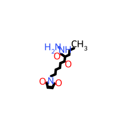 CCCCC(C(=O)CCCCCN1C(=O)C=CC1=O)C(=O)NN